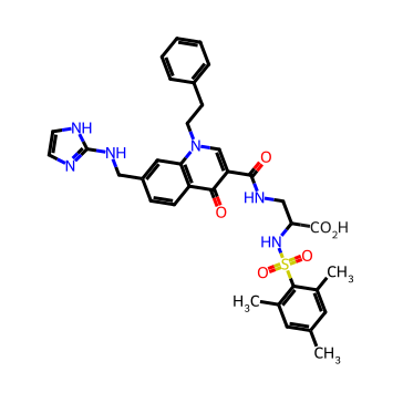 Cc1cc(C)c(S(=O)(=O)NC(CNC(=O)c2cn(CCc3ccccc3)c3cc(CNc4ncc[nH]4)ccc3c2=O)C(=O)O)c(C)c1